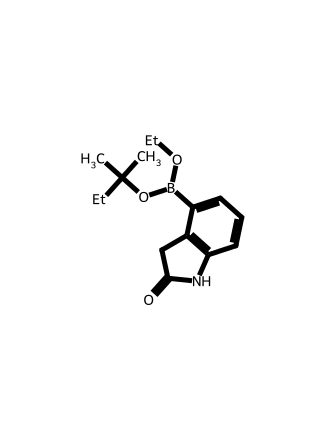 CCOB(OC(C)(C)CC)c1cccc2c1CC(=O)N2